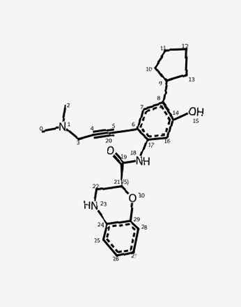 CN(C)CC#Cc1cc(C2CCCC2)c(O)cc1NC(=O)[C@@H]1CNc2ccccc2O1